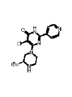 CC(C)(C)[C@H]1CN(c2nc(-c3ccncc3)[nH]c(=O)c2Cl)CCN1